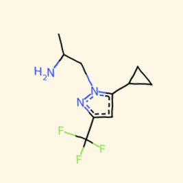 CC(N)Cn1nc(C(F)(F)F)cc1C1CC1